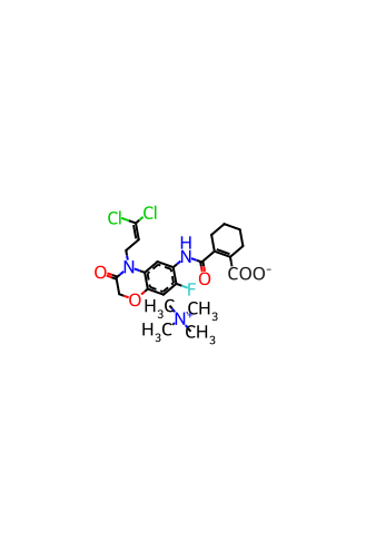 C[N+](C)(C)C.O=C([O-])C1=C(C(=O)Nc2cc3c(cc2F)OCC(=O)N3CC=C(Cl)Cl)CCCC1